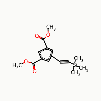 COC(=O)c1cc(C#C[Si](C)(C)C)cc(C(=O)OC)c1